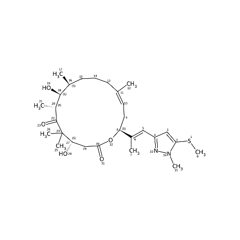 CSc1cc(C=C(C)[C@@H]2CC=C(C)CCC[C@H](C)[C@H](O)[C@@H](C)C(=O)C(C)(C)[C@@H](O)CC(=O)O2)nn1C